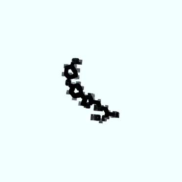 CCC(CNCc1nc(-c2ccc(O[C@H]3CC[C@H](C(C)(C)C)CC3)cc2)cs1)C(=O)O